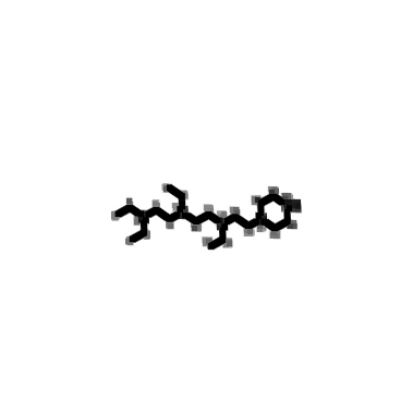 CCN(CC)CCN(CC)CCN(CC)CCN1CCNCC1